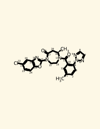 Cc1ccc(-n2nccn2)c(C(=O)N2CCN(c3nc4cc(Cl)ccc4o3)C(=O)C[C@H]2C)c1